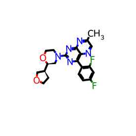 Cc1cnc2c(-c3ccc(F)cc3F)nc(N3CCO[C@H]([C@H]4CCOC4)C3)nc2n1